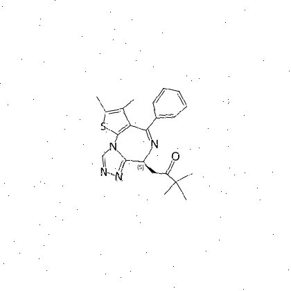 Cc1sc2c(c1C)C(c1ccccc1)=N[C@@H](CC(=O)C(C)(C)C)c1nncn1-2